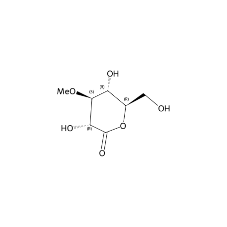 CO[C@H]1[C@H](O)[C@@H](CO)OC(=O)[C@@H]1O